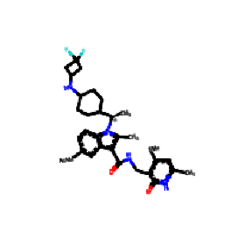 CSc1cc(C)[nH]c(=O)c1CNC(=O)c1c(C)n([C@H](C)C2CCC(NC3CC(F)(F)C3)CC2)c2ccc(NC(C)=O)cc12